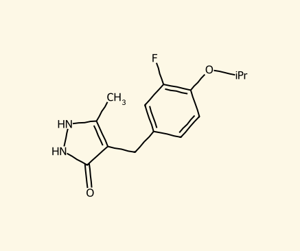 Cc1[nH][nH]c(=O)c1Cc1ccc(OC(C)C)c(F)c1